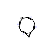 C1=C2/C=C\C=C/N/C=C\C=C1/2